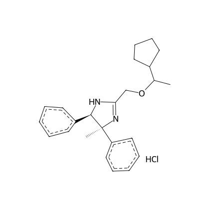 CC(OCC1=N[C@@](C)(c2ccccc2)[C@@H](c2ccccc2)N1)C1CCCC1.Cl